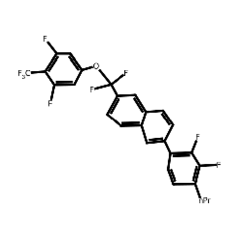 CCCc1ccc(-c2ccc3cc(C(F)(F)Oc4cc(F)c(C(F)(F)F)c(F)c4)ccc3c2)c(F)c1F